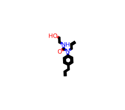 C=CCc1ccc(N(CC=C)C(=O)NCCO)cc1